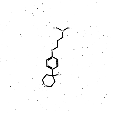 CCN(C)CCCOc1ccc(C2(C#N)CCOCC2)cc1